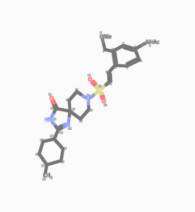 COCc1cc(NC(C)=O)ccc1C=CS(=O)(=O)N1CCC2(CC1)N=C(C1CCC(C)CC1)NC2=O